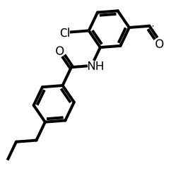 CCCc1ccc(C(=O)Nc2cc([C]=O)ccc2Cl)cc1